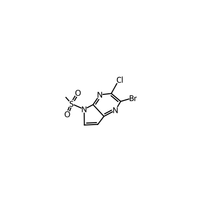 CS(=O)(=O)n1ccc2nc(Br)c(Cl)nc21